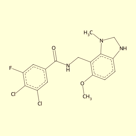 COc1ccc2c(c1CNC(=O)c1cc(F)c(Cl)c(Cl)c1)N(C)CN2